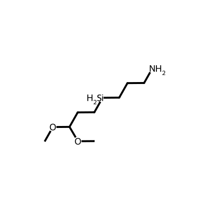 COC(CC[SiH2]CCCN)OC